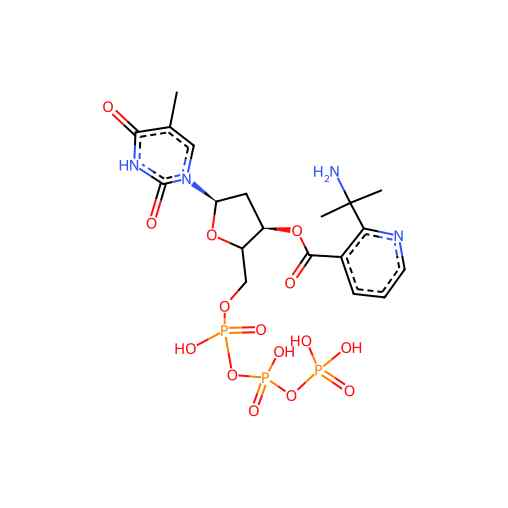 Cc1cn([C@H]2C[C@@H](OC(=O)c3cccnc3C(C)(C)N)C(COP(=O)(O)OP(=O)(O)OP(=O)(O)O)O2)c(=O)[nH]c1=O